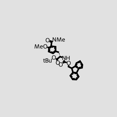 CNC(=O)c1cc(C[C@H](NC(=O)OCC2c3ccccc3-c3ccccc32)C(=O)OC(C)(C)C)ccc1OC